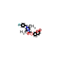 C[C@@H]1CN(C(=O)COc2ccc3ccc(=O)oc3c2)[C@@H](C)CN1Cc1ccc(F)cc1